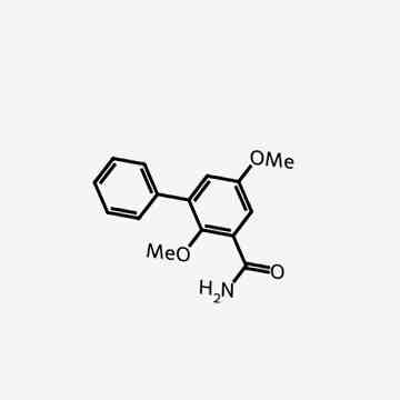 COc1cc(C(N)=O)c(OC)c(-c2ccccc2)c1